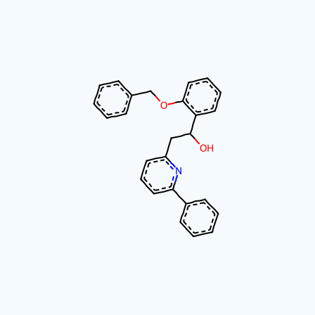 OC(Cc1cccc(-c2ccccc2)n1)c1ccccc1OCc1ccccc1